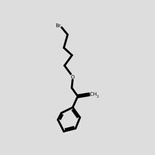 C=C(COCCCCBr)c1ccccc1